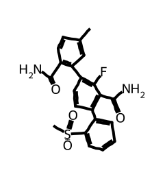 Cc1ccc(C(N)=O)c(-c2ccc(-c3ccccc3S(C)(=O)=O)c(C(N)=O)c2F)c1